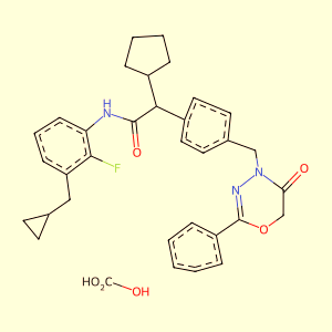 O=C(Nc1cccc(CC2CC2)c1F)C(c1ccc(CN2N=C(c3ccccc3)OCC2=O)cc1)C1CCCC1.O=C(O)O